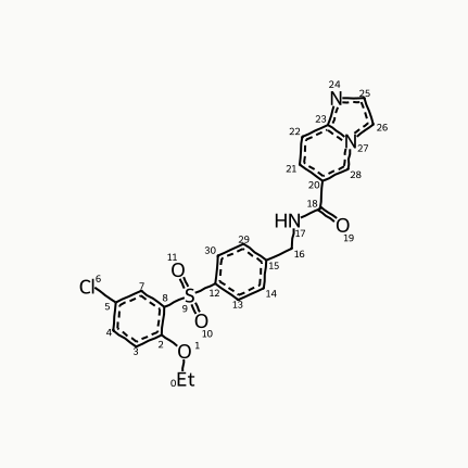 CCOc1ccc(Cl)cc1S(=O)(=O)c1ccc(CNC(=O)c2ccc3nccn3c2)cc1